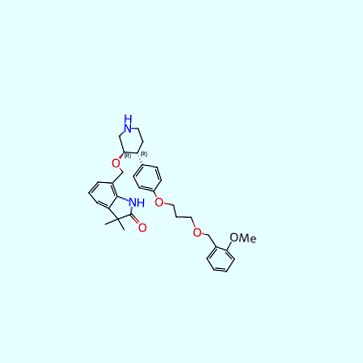 COc1ccccc1COCCCOc1ccc([C@H]2CCNC[C@@H]2OCc2cccc3c2NC(=O)C3(C)C)cc1